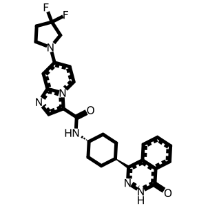 O=C(N[C@H]1CC[C@H](c2n[nH]c(=O)c3ccccc32)CC1)c1cnc2cc(N3CCC(F)(F)C3)ccn12